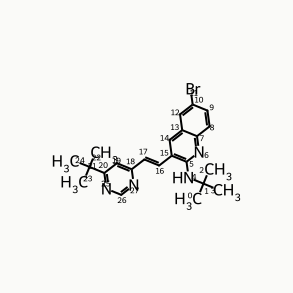 CC(C)(C)Nc1nc2ccc(Br)cc2cc1C=Cc1cc(C(C)(C)C)ncn1